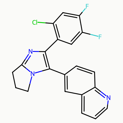 Fc1cc(Cl)c(-c2nc3n(c2-c2ccc4ncccc4c2)CCC3)cc1F